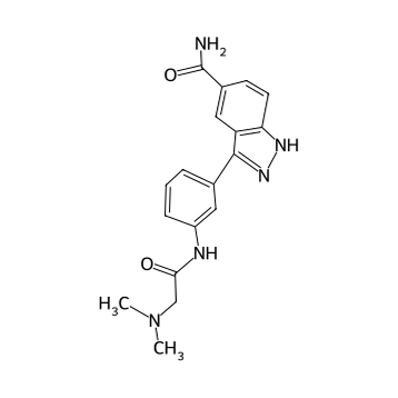 CN(C)CC(=O)Nc1cccc(-c2n[nH]c3ccc(C(N)=O)cc23)c1